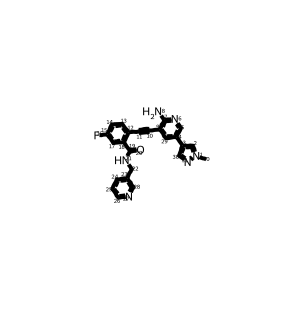 Cn1cc(-c2cnc(N)c(C#Cc3ccc(F)cc3C(=O)NCc3cccnc3)c2)cn1